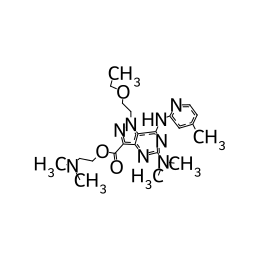 CCOCCn1nc(C(=O)OCCN(C)C)c2nc(N(C)C)nc(Nc3cc(C)ccn3)c21